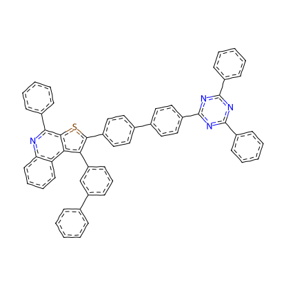 c1ccc(-c2cccc(-c3c(-c4ccc(-c5ccc(-c6nc(-c7ccccc7)nc(-c7ccccc7)n6)cc5)cc4)sc4c(-c5ccccc5)nc5ccccc5c34)c2)cc1